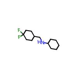 FC1(F)CCC(CNC2CCCCC2)CC1